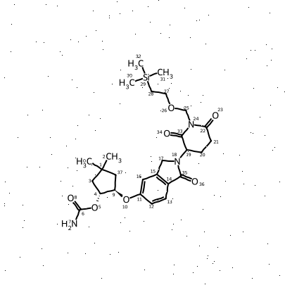 CC1(C)C[C@@H](OC(N)=O)[C@H](Oc2ccc3c(c2)CN(C2CCC(=O)N(COCC[Si](C)(C)C)C2=O)C3=O)C1